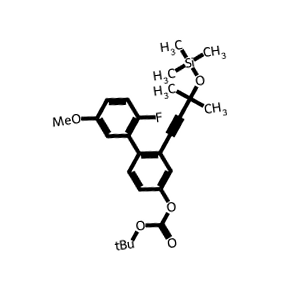 COc1ccc(F)c(-c2ccc(OC(=O)OC(C)(C)C)cc2C#CC(C)(C)O[Si](C)(C)C)c1